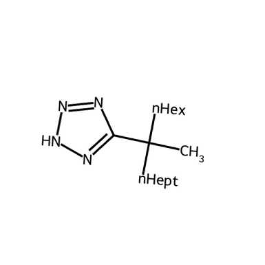 CCCCCCCC(C)(CCCCCC)c1nn[nH]n1